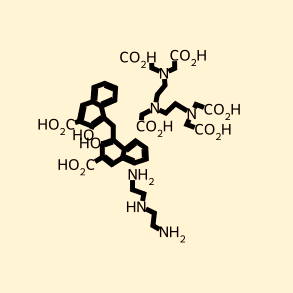 NCCNCCN.O=C(O)CN(CCN(CC(=O)O)CC(=O)O)CCN(CC(=O)O)CC(=O)O.O=C(O)c1cc2ccccc2c(Cc2c(O)c(C(=O)O)cc3ccccc23)c1O